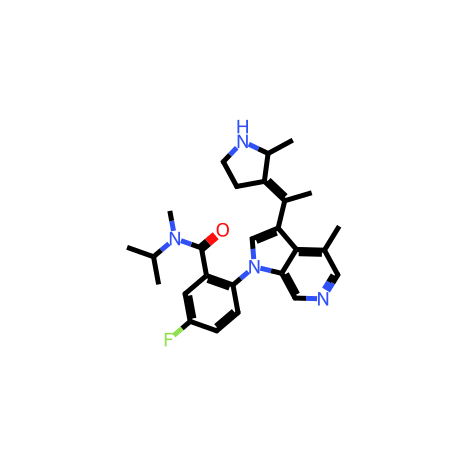 C/C(=C1/CCNC1C)c1cn(-c2ccc(F)cc2C(=O)N(C)C(C)C)c2cncc(C)c12